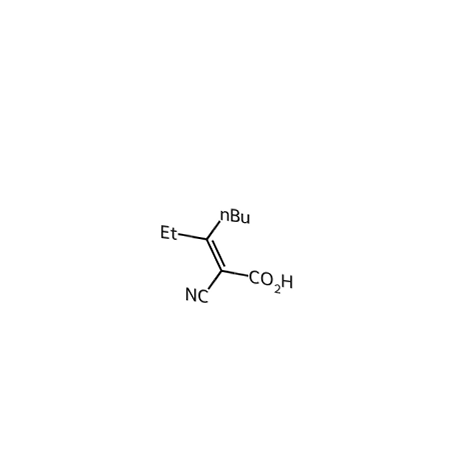 CCCCC(CC)=C(C#N)C(=O)O